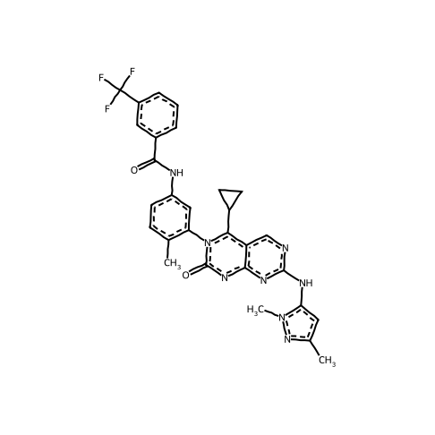 Cc1cc(Nc2ncc3c(C4CC4)n(-c4cc(NC(=O)c5cccc(C(F)(F)F)c5)ccc4C)c(=O)nc3n2)n(C)n1